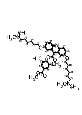 COC(=O)c1cc(C)c(OC(=O)c2c3cc(OCCCCCCN(C)C)ccc3nc3ccc(OCCCCCCN(C)C)cc23)c(C)c1